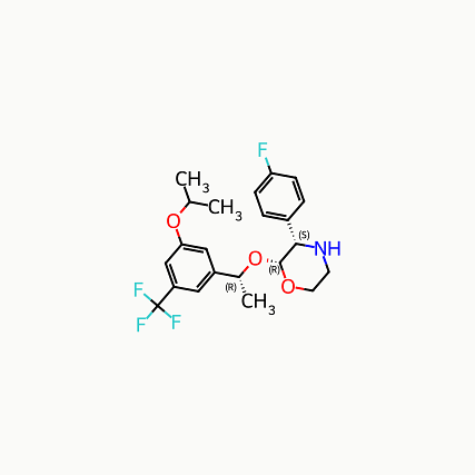 CC(C)Oc1cc([C@@H](C)O[C@H]2OCCN[C@H]2c2ccc(F)cc2)cc(C(F)(F)F)c1